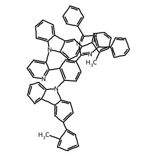 Cc1ccccc1-c1ccc2c(c1)c1ccccc1n2-c1ccc(-c2nc(-c3ccccc3)nc(-c3ccccc3)n2)cc1-c1ncccc1-n1c2ccccc2c2cc(-c3ccccc3C)ccc21